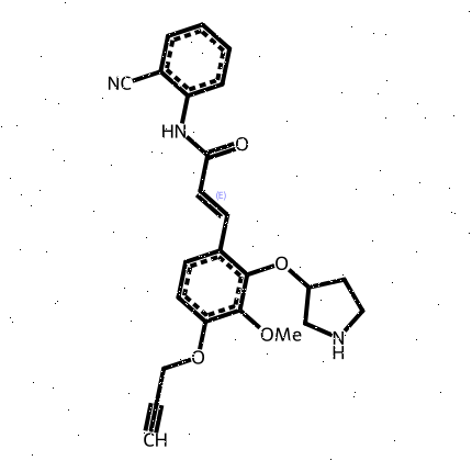 C#CCOc1ccc(/C=C/C(=O)Nc2ccccc2C#N)c(OC2CCNC2)c1OC